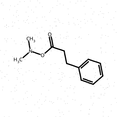 CN(C)OC(=O)CCc1ccccc1